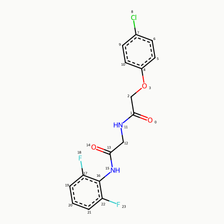 O=C(COc1ccc(Cl)cc1)NCC(=O)Nc1c(F)cccc1F